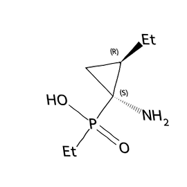 CC[C@@H]1C[C@]1(N)P(=O)(O)CC